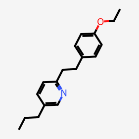 CCCc1ccc(CCc2ccc(OCC)cc2)nc1